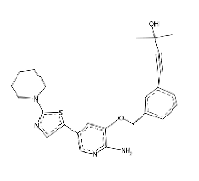 CC(C)(O)C#Cc1cccc(COc2cc(-c3cnc(N4CCCCC4)s3)cnc2N)c1